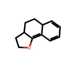 C1=CC2=C3OCCC3CCC2C=C1